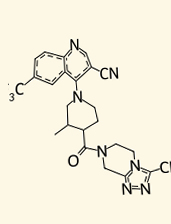 CC1CN(c2c(C#N)cnc3ccc(C(F)(F)F)cc23)CCC1C(=O)N1CCn2c(nnc2C(F)(F)F)C1